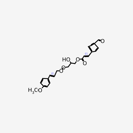 COc1ccc(/C=C/COOCC(O)COC(=O)/C=C/c2ccc(C=O)cc2)cc1